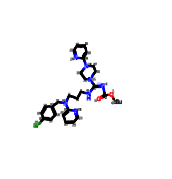 CC(C)(C)OC(=O)/N=C(\NCCCN(Cc1ccc(Br)cc1)c1ccccn1)N1CCN(c2ccccn2)CC1